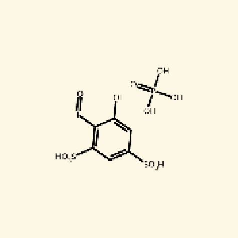 O=Ic1c(O)cc(S(=O)(=O)O)cc1S(=O)(=O)O.O=P(O)(O)O